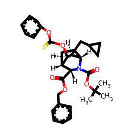 CC(C)(C)OC(=O)N1[C@H](C(=O)OCc2ccccc2)[C@@H]2CC[C@H]1[C@H](CC1CC1)[C@@H]2OC(=S)Oc1ccccc1